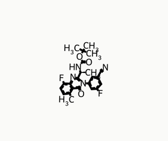 Cc1ccc(F)c2nc([C@H](C)NC(=O)OC(C)(C)C)n(-c3cc(F)cc(C#N)c3)c(=O)c12